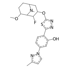 COC1CCC2CC(Oc3nnc(-c4ccc(-n5ccc(C)n5)cc4O)s3)C(F)C1N2C